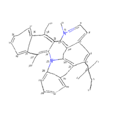 CCC(C)(C)c1cc2cc[n+](C)c3c4c(C)c5ccccc5c(C)c4n4c5ccccc5c1c4c23